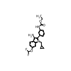 CCOC(=O)Nc1cccc(-c2c(N)c3ccc(OC(F)F)cc3n2CC2CC2)c1